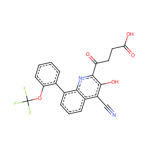 N#Cc1c(O)c(C(=O)CCC(=O)O)nc2c(-c3ccccc3OC(F)(F)F)cccc12